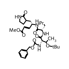 COC(=O)/C=C/[C@H](CC1CCNC1=O)NC(=O)[C@H](CC(C)C)NC(=O)[C@@H](NC(=O)OCc1ccccc1)C(C)OC(C)(C)C